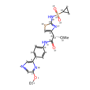 CCOc1cncc(-c2ccc(NC(=O)[C@@H](OC)c3csc(NS(=O)(=O)C4CC4)n3)cc2)n1